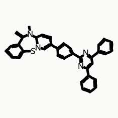 C=C1c2ccccc2SN2C=C(c3ccc(-c4nc(-c5ccccc5)cc(-c5ccccc5)n4)cc3)C=CC2N1C